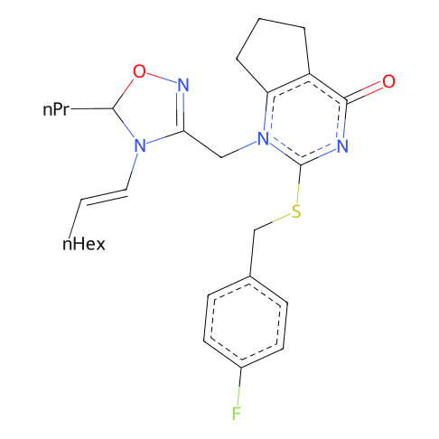 CCCCCC/C=C/N1C(Cn2c(SCc3ccc(F)cc3)nc(=O)c3c2CCC3)=NOC1CCC